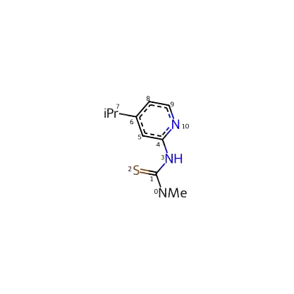 CNC(=S)Nc1cc(C(C)C)ccn1